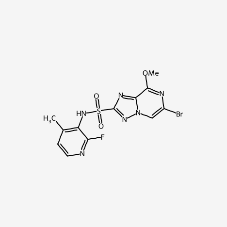 COc1nc(Br)cn2nc(S(=O)(=O)Nc3c(C)ccnc3F)nc12